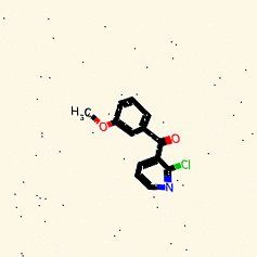 COc1cccc(C(=O)c2cccnc2Cl)c1